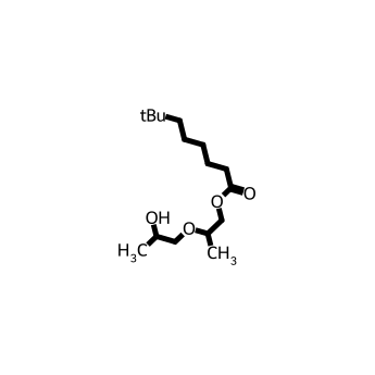 CC(O)COC(C)COC(=O)CCCCCC(C)(C)C